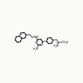 Nc1nc(NCCc2ccc3ccccc3c2)cc(-c2ccc(C[C@H](N)C(=O)O)cc2)n1